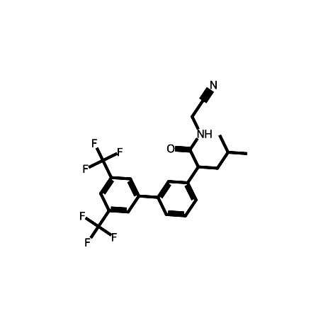 CC(C)CC(C(=O)NCC#N)c1cccc(-c2cc(C(F)(F)F)cc(C(F)(F)F)c2)c1